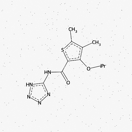 Cc1sc(C(=O)Nc2nnn[nH]2)c(OC(C)C)c1C